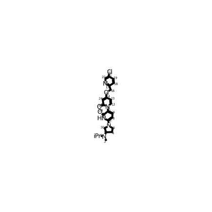 CC(C)N(C)C1CCN(c2ccc(-n3ccc(OCc4ccc(Cl)cn4)cc3=O)c(=O)[nH]2)C1